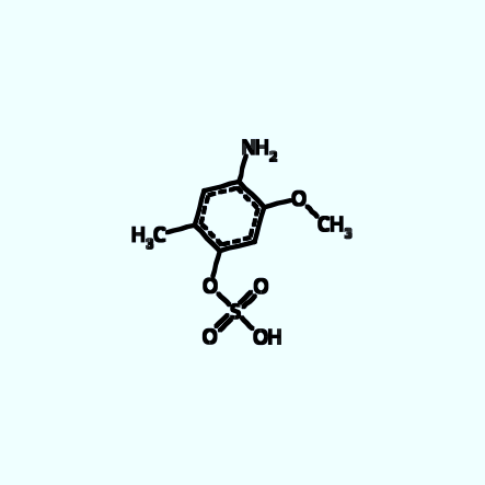 COc1cc(OS(=O)(=O)O)c(C)cc1N